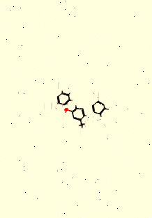 Nc1cc(F)c(F)c(Oc2cc(Oc3cc(N)cc(F)c3F)c(C(F)(F)F)cc2C(F)(F)F)c1